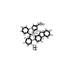 CCC(C)C1=CC[C]([Zr+2](=[C](c2ccccc2)c2ccccc2)[c]2cccc3c2Cc2ccccc2-3)=C1.[Cl-].[Cl-]